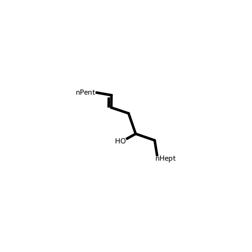 CCCCC/C=C/CC(O)CCCCCCCC